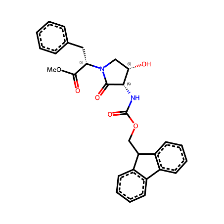 COC(=O)[C@H](Cc1ccccc1)N1C[C@H](O)[C@H](NC(=O)OCC2c3ccccc3-c3ccccc32)C1=O